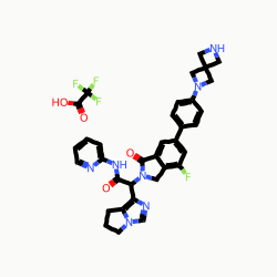 O=C(Nc1ccccn1)C(c1ncn2c1CCC2)N1Cc2c(F)cc(-c3ccc(N4CC5(CNC5)C4)cc3)cc2C1=O.O=C(O)C(F)(F)F